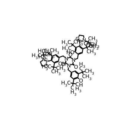 CC(C)(C)c1cc(Cn2c(=O)n(Cc3cc(C(C)(C)C)c(P4OCCN4C(C)(C)C)c(C(C)(C)C)c3O)c(=O)n(Cc3cc(C(C)(C)C)c(P4OCCN4C(C)(C)C)c(C(C)(C)C)c3O)c2=O)cc(C(C)(C)C)c1O